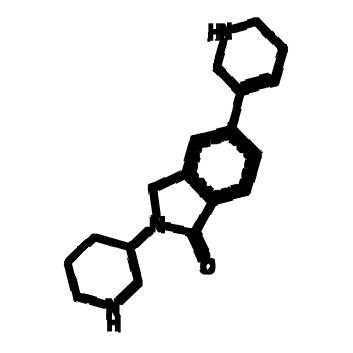 O=C1c2ccc(C3=CCCNC3)cc2CN1C1CCCNC1